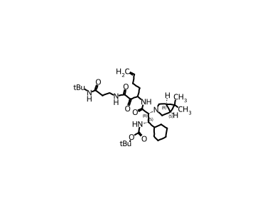 C=CCCC(NC(=O)[C@@H]([C@@H](NC(=O)OC(C)(C)C)C1CCCCC1)N1C[C@@H]2[C@H](C1)C2(C)C)C(=O)C(=O)NCCC(=O)NC(C)(C)C